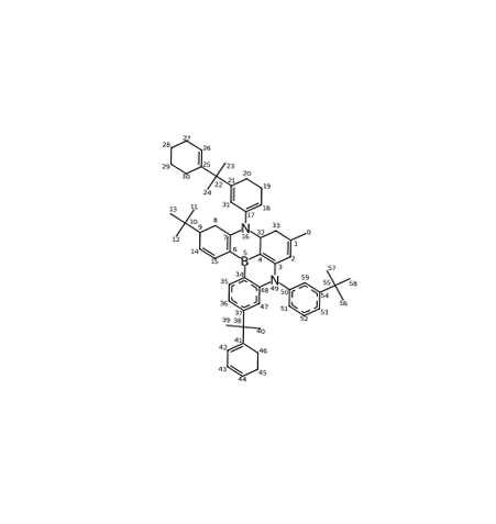 CC1=CC2=C3B(C4=C(CC(C(C)(C)C)C=C4)N(C4=CCCC(C(C)(C)C5=CCCCC5)=C4)C3C1)c1ccc(C(C)(C)C3=CC=CCC3)cc1N2c1cccc(C(C)(C)C)c1